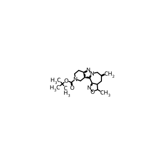 C=C1CC2C(=NOC2C)c2c3c(nn2C1)CCN(C(=O)OC(C)(C)C)C3